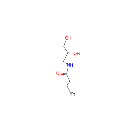 CC(C)CCC(=O)NCC(O)CO